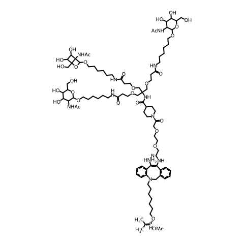 CO[PH](OCCCCCCCN1Cc2ccccc2/C(NCCOCCOCC(=O)N2CCC(C(=O)NC(COCCC(=O)NCCCCCCOC3OC(CO)C(O)C(O)C3NC(C)=O)(COCCC(=O)NCCCCCCOC3OC(CO)C(O)C(O)C3NC(C)=O)COCCC(=O)NCCCCCCOC3OC4(CO)C(O)C(O)C34NC(C)=O)CC2)=C(/NN)c2ccccc21)=C(C)C